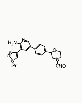 CC(C)n1cc(-c2cc(-c3ccc(C4CN(C=O)CCO4)cc3)cnc2N)nn1